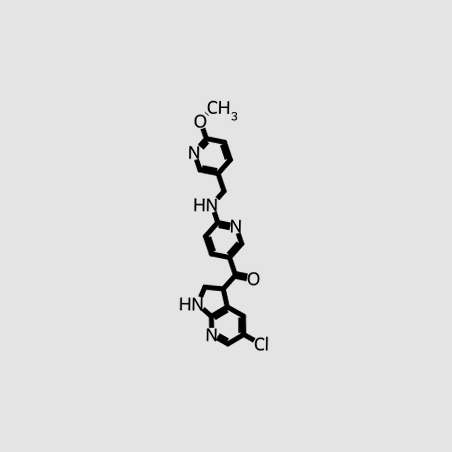 COc1ccc(CNc2ccc(C(=O)C3CNc4ncc(Cl)cc43)cn2)cn1